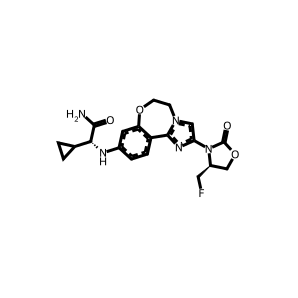 NC(=O)[C@H](Nc1ccc2c(c1)OCCn1cc(N3C(=O)OC[C@H]3CF)nc1-2)C1CC1